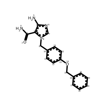 NC(=O)c1c(N)ncn1Cc1ccc(OCc2ccccc2)cc1